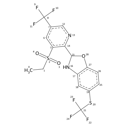 CCS(=O)(=O)c1cc(C(F)(F)F)cnc1C1Nc2cc(SC(F)(F)F)ccc2O1